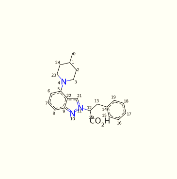 CC1CCN(c2cccc3nn(C(Cc4ccccc4)C(=O)O)cc23)CC1